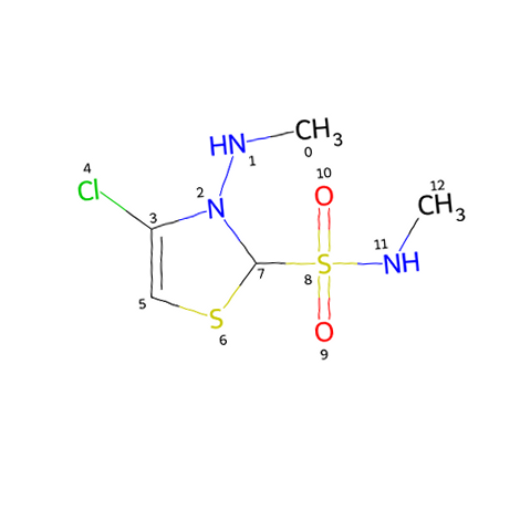 CNN1C(Cl)=CSC1S(=O)(=O)NC